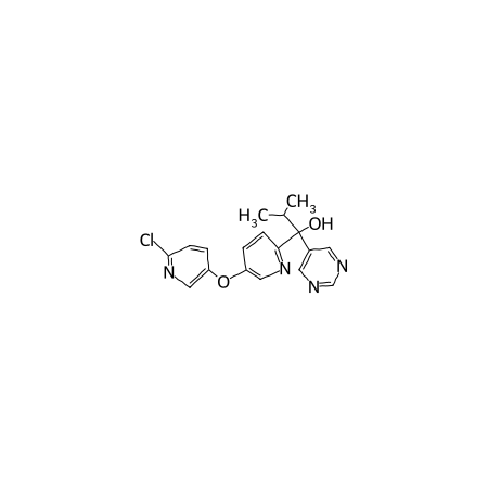 CC(C)C(O)(c1cncnc1)c1ccc(Oc2ccc(Cl)nc2)cn1